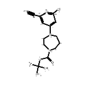 CC(C)(C)OC(=O)N1CCCN(c2cc(Cl)nc(C#N)c2)CC1